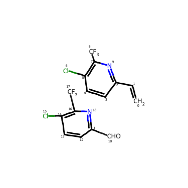 C=Cc1ccc(Cl)c(C(F)(F)F)n1.O=Cc1ccc(Cl)c(C(F)(F)F)n1